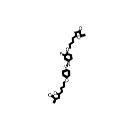 C=C1CC(CCCCOc2ccc(N=Nc3ccc(OCCCCC4CC(=O)C(=C)O4)c(F)c3)cc2)OC1=O